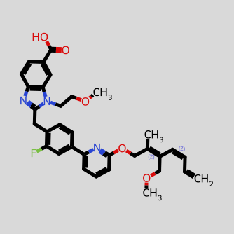 C=C/C=C\C(COC)=C(/C)COc1cccc(-c2ccc(Cc3nc4ccc(C(=O)O)cc4n3CCOC)c(F)c2)n1